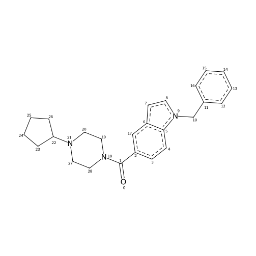 O=C(c1ccc2c(ccn2Cc2ccccc2)c1)N1CCN(C2CCCC2)CC1